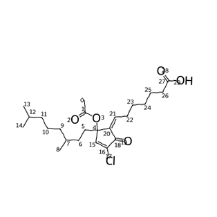 CC(=O)OC1(CCC(C)CCCC(C)C)C=C(Cl)C(=O)C1=CCCCCCC(=O)O